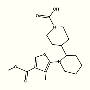 COC(=O)c1csc(N2CCCCC2C2CCN(C(=O)O)CC2)c1C